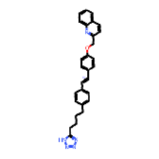 C(=C\c1ccc(OCc2ccc3ccccc3n2)cc1)/c1ccc(CCCCc2nnn[nH]2)cc1